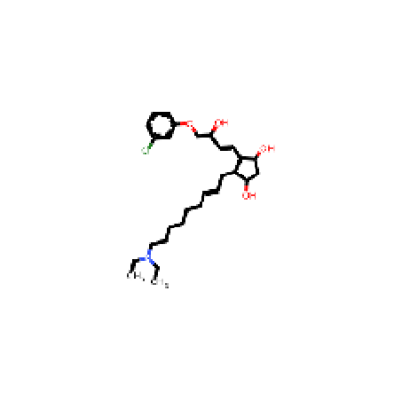 CCN(CC)CCCCCCC=CCC1C(O)CC(O)C1C=CC(O)COc1cccc(Cl)c1